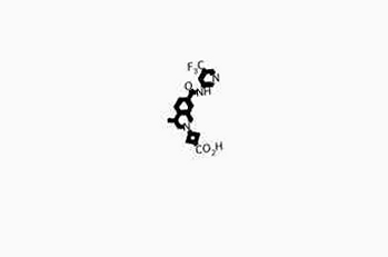 CC1CN(C2CC(C(=O)O)C2)Cc2cc(C(=O)Nc3cncc(C(F)(F)F)c3)ccc21